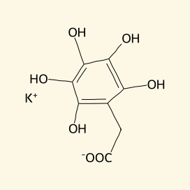 O=C([O-])Cc1c(O)c(O)c(O)c(O)c1O.[K+]